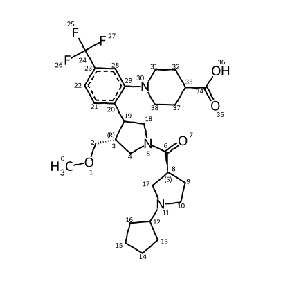 COC[C@H]1CN(C(=O)[C@H]2CCN(C3CCCC3)C2)CC1c1ccc(C(F)(F)F)cc1N1CCC(C(=O)O)CC1